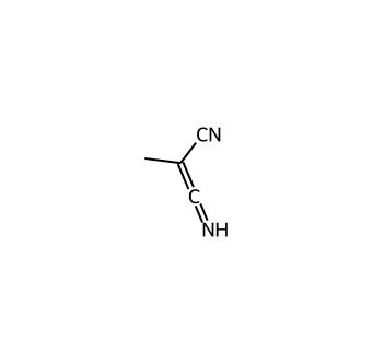 CC(=C=N)C#N